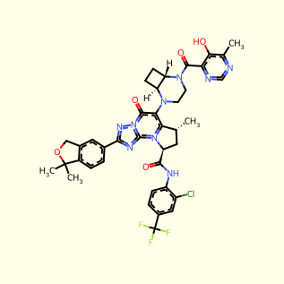 Cc1ncnc(C(=O)N2CCN(c3c4n(c5nc(-c6ccc7c(c6)COC7(C)C)nn5c3=O)[C@H](C(=O)Nc3ccc(C(F)(F)F)cc3Cl)C[C@H]4C)[C@H]3CC[C@@H]32)c1O